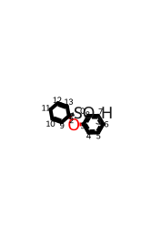 O=S(=O)(O)C1(Oc2ccccc2)C=CCC=C1